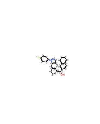 CCc1cnn(-c2ccc(F)cc2)c1/C=C1/CCC[C@H]([C@@H](O)c2ccc3ccccc3c2)[C@@H]1C